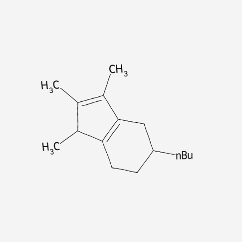 CCCCC1CCC2=C(C1)C(C)=C(C)C2C